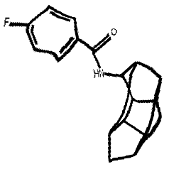 O=C(NC1C2C3CC4C5CC(C42)C1C53)c1ccc(F)cc1